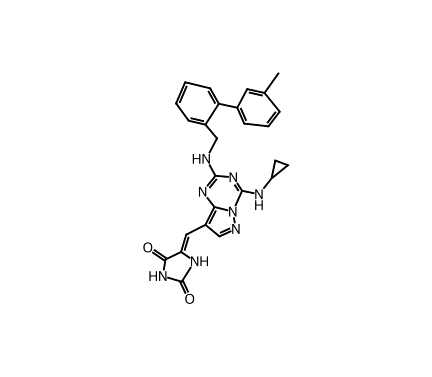 Cc1cccc(-c2ccccc2CNc2nc(NC3CC3)n3ncc(/C=C4\NC(=O)NC4=O)c3n2)c1